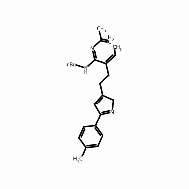 C=C(C)/N=C(NCCCC)\C(=C/C)CCC1=CC(c2ccc(C)cc2)=NC1